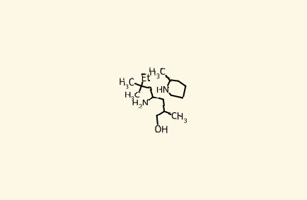 CC1CCCCN1.CCC(C)(C)CC(N)CC(C)CO